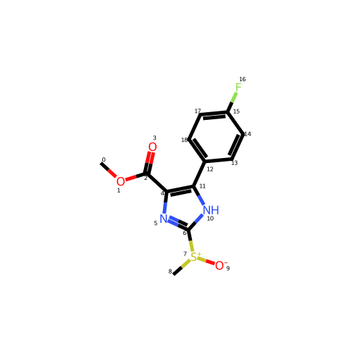 COC(=O)c1nc([S+](C)[O-])[nH]c1-c1ccc(F)cc1